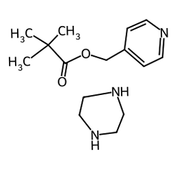 C1CNCCN1.CC(C)(C)C(=O)OCc1ccncc1